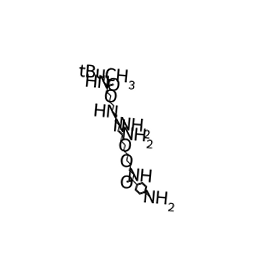 CC(NC(=O)COCCNCCN(N)/C=C(\N)COCCOCCNC(=O)c1ccc(N)cc1)C(C)(C)C